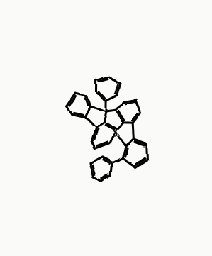 c1ccc(-c2cccc3c2sc2c(C4(c5ccccc5)c5ccccc5-c5ccccc54)cccc23)cc1